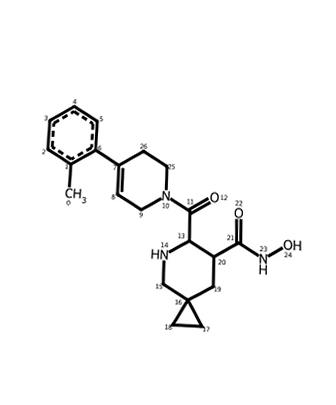 Cc1ccccc1C1=CCN(C(=O)C2NCC3(CC3)CC2C(=O)NO)CC1